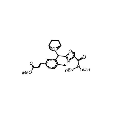 CCCCCCCCN(CCCC)C(=O)c1coc(C(c2cc(/C=C/C(=O)OC)ccc2F)[C@H]2CC3CCC2O3)n1